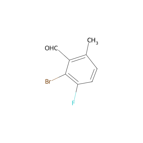 Cc1ccc(F)c(Br)c1C=O